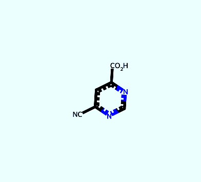 N#Cc1cc(C(=O)O)ncn1